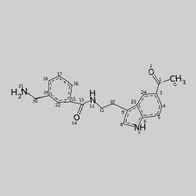 CC(=O)c1ccc2[nH]cc(CCNC(=O)c3cccc(CN)c3)c2c1